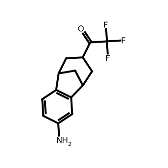 Nc1ccc2c(c1)C1CC(C(=O)C(F)(F)F)CC2C1